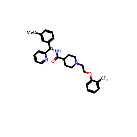 COc1cccc([C@H](NC(=O)C2CCN(CCOc3ccccc3C(F)(F)F)CC2)c2ccccn2)c1